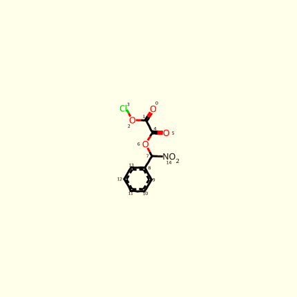 O=C(OCl)C(=O)OC(c1ccccc1)[N+](=O)[O-]